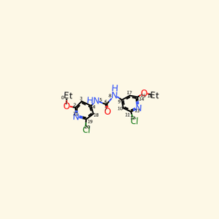 CCOc1cc(NC(=O)Nc2cc(Cl)nc(OCC)c2)cc(Cl)n1